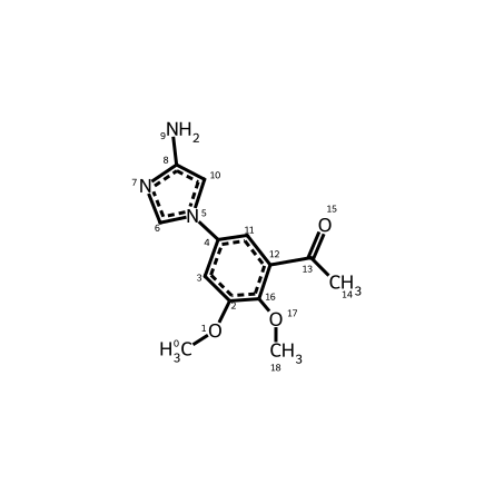 COc1cc(-n2cnc(N)c2)cc(C(C)=O)c1OC